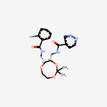 CC1(C)OCCO[C@H](CNC(=O)c2ccccc2Cl)[C@H](CNC(=O)c2ccnnc2)O1